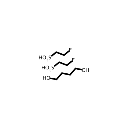 O=S(=O)(O)CCF.O=S(=O)(O)CCF.OCCCCO